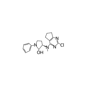 CN(c1nc(Cl)nc2c1CCC2)[C@@H]1CCN(c2ccccc2)C1O